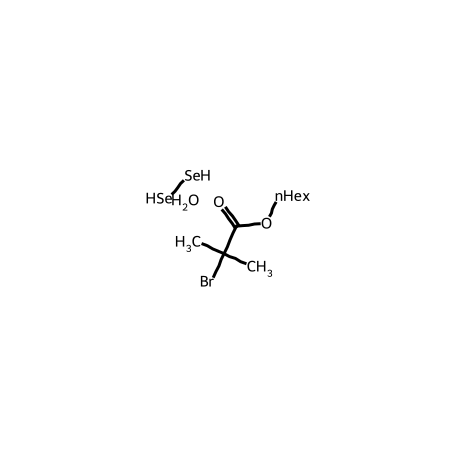 CCCCCCOC(=O)C(C)(C)Br.O.[SeH][SeH]